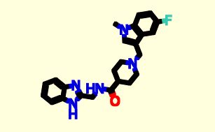 Cn1cc(CN2CCC(C(=O)NCc3nc4ccccc4[nH]3)CC2)c2cc(F)ccc21